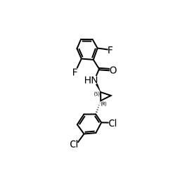 O=C(N[C@H]1C[C@@H]1c1ccc(Cl)cc1Cl)c1c(F)cccc1F